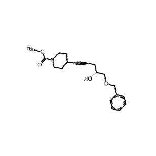 CC(C)(C)OC(=O)N1CCC(C#CC[C@@H](O)COCc2ccccc2)CC1